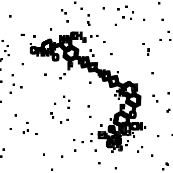 CCN(C)S(=O)(=O)Nc1ccc(F)c(Oc2ccc3ncc(C4CC5(C4)CN(C4CC6(C4)CN(c4cc7c(cc4F)c(N4CCC(=O)NC4=O)nn7C)C6)C5)nc3c2)c1C#N